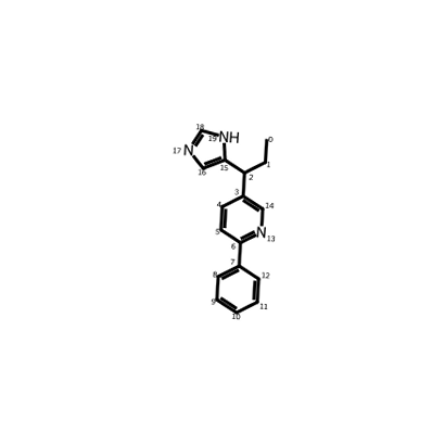 CCC(c1ccc(-c2ccccc2)nc1)c1cnc[nH]1